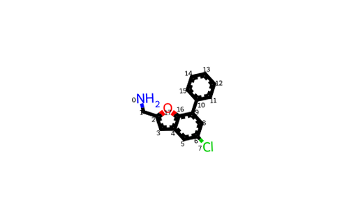 NCc1cc2cc(Cl)cc(-c3ccccc3)c2o1